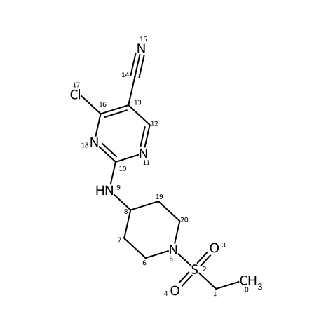 CCS(=O)(=O)N1CCC(Nc2ncc(C#N)c(Cl)n2)CC1